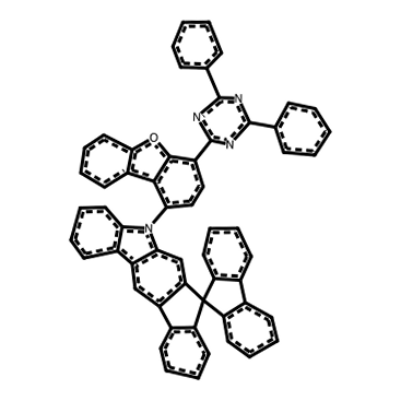 c1ccc(-c2nc(-c3ccccc3)nc(-c3ccc(-n4c5ccccc5c5cc6c(cc54)C4(c5ccccc5-c5ccccc54)c4ccccc4-6)c4c3oc3ccccc34)n2)cc1